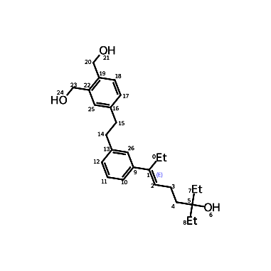 CC/C(=C\CCC(O)(CC)CC)c1cccc(CCc2ccc(CO)c(CO)c2)c1